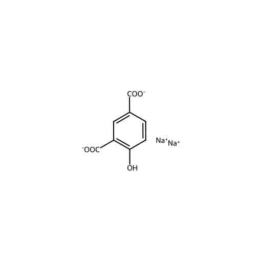 O=C([O-])c1ccc(O)c(C(=O)[O-])c1.[Na+].[Na+]